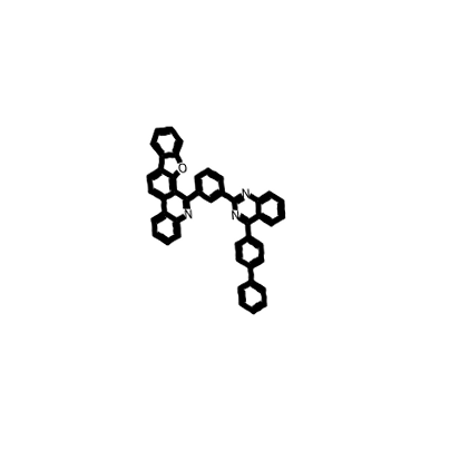 c1ccc(-c2ccc(-c3nc(-c4cccc(-c5nc6ccccc6c6ccc7c8ccccc8oc7c56)c4)nc4ccccc34)cc2)cc1